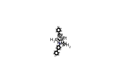 CCN1C(=O)C(/N=C(\NCP)c2ccc(-c3ccccc3)cc2)=C(C)N2C[C@@H](c3ccccc3)N=C12